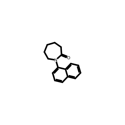 O=C1CCCCCN1c1cccc2ccccc12